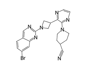 N#CC1CCN(c2nccnc2C2CN(c3ncc4ccc(Br)cc4n3)C2)CC1